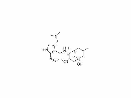 CC1C[C@H]2C[C@](O)(CC[C@@H]2Nc2c(C#N)cnc3[nH]cc(CN(C)C)c23)C1